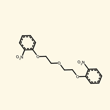 O=[N+]([O-])c1ccccc1OCCOCCOc1ccccc1[N+](=O)[O-]